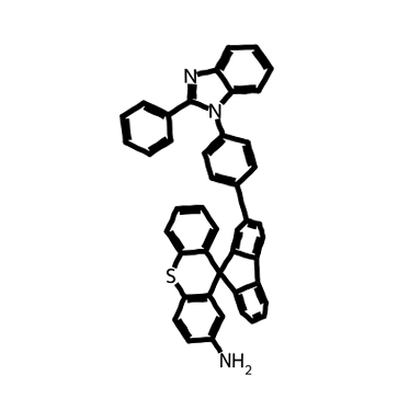 Nc1ccc2c(c1)C1(c3ccccc3S2)c2ccccc2-c2ccc(-c3ccc(-n4c(-c5ccccc5)nc5ccccc54)cc3)cc21